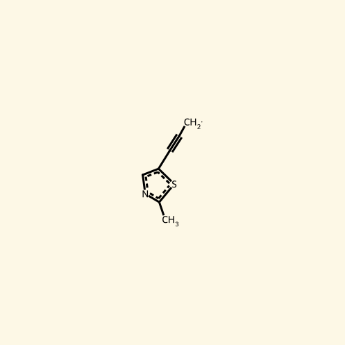 [CH2]C#Cc1cnc(C)s1